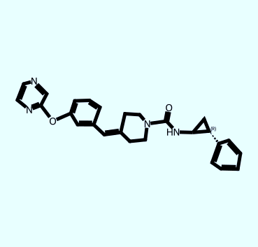 O=C(NC1C[C@@H]1c1ccccc1)N1CCC(=Cc2cccc(Oc3cnccn3)c2)CC1